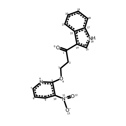 O=C(CCOc1ncccc1[N+](=O)[O-])c1c[nH]c2ccccc12